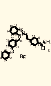 CN(C)c1ccc(/C=C/c2sc3ccccc3[n+]2Cc2cccc(Oc3ccccc3)c2)cc1.[Br-]